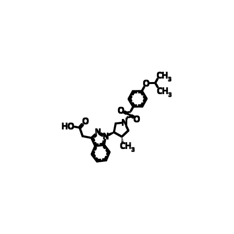 CC(C)Oc1ccc(S(=O)(=O)N2C[C@H](C)[C@@H](n3nc(CC(=O)O)c4ccccc43)C2)cc1